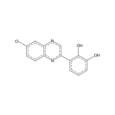 Oc1cccc(-c2cnc3cc(Cl)ccc3n2)c1O